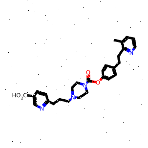 Cc1cccnc1CCc1ccc(OC(=O)N2CCN(CCCc3ccc(C(=O)O)cn3)CC2)cc1